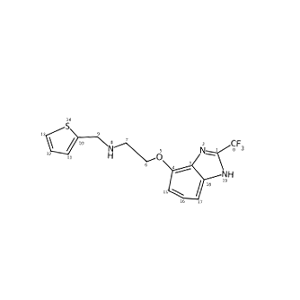 FC(F)(F)c1nc2c(OCCNCc3cccs3)cccc2[nH]1